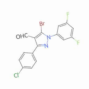 O=Cc1c(-c2ccc(Cl)cc2)nn(-c2cc(F)cc(F)c2)c1Br